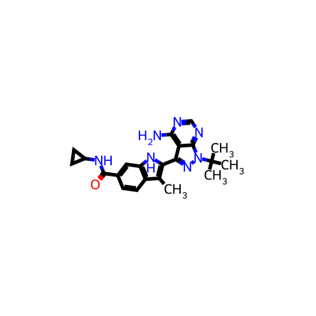 Cc1c(-c2nn(C(C)(C)C)c3ncnc(N)c23)[nH]c2cc(C(=O)NC3CC3)ccc12